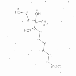 CCCCCCCCCCCCCCC(O)C(C)(O)CCO